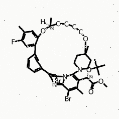 COC(=O)[C@@H](OC(C)(C)C)c1c(C)c(Br)c2nc3c(Br)n2c1N1CCC(C)(CC1)OCCCC[C@H](C)Oc1cc(C)c(F)cc1-c1cccc-3c1